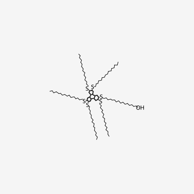 CCCCCCCCCCCCCCCCSc1cc2c3cc(SCCCCCCCCCCCCCCCC)c(SCCCCCCCCCCCCCCCC)cc3c3cc(SCCCCCCCCCCCCCCCCO)c(SCCCCCCCCCCCCCCCC)cc3c2cc1SCCCCCCCCCCCCCCCC